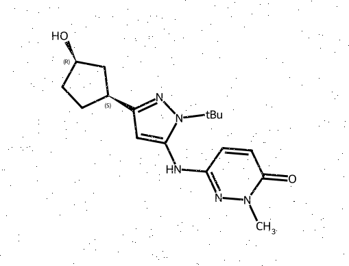 Cn1nc(Nc2cc([C@H]3CC[C@@H](O)C3)nn2C(C)(C)C)ccc1=O